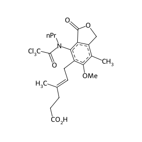 CCCN(C(=O)C(Cl)(Cl)Cl)c1c(C/C=C(\C)CCC(=O)O)c(OC)c(C)c2c1C(=O)OC2